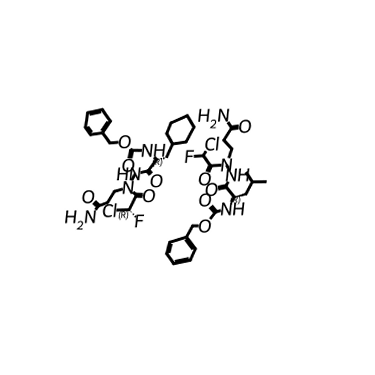 CC(C)C[C@@H](NC(=O)OCc1ccccc1)C(=O)NN(CCC(N)=O)C(=O)C(F)Cl.NC(=O)CCN(NC(=O)[C@@H](CC1CCCCC1)NC(=O)OCc1ccccc1)C(=O)[C@H](F)Cl